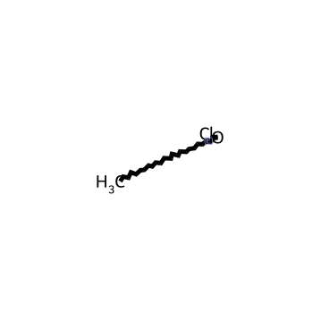 CCCCCCCCCCCCCCCCCCCCC/C=C/C(=O)Cl